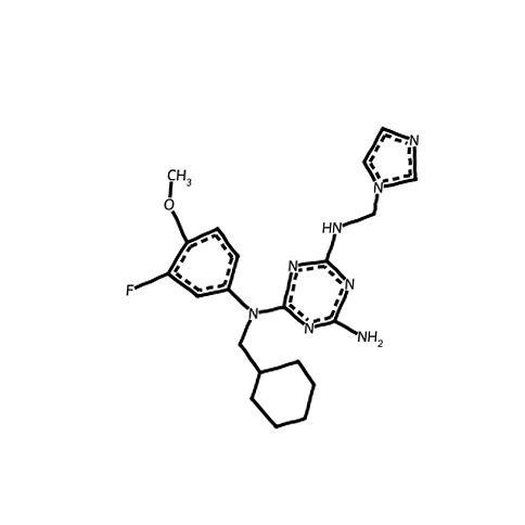 COc1ccc(N(CC2CCCCC2)c2nc(N)nc(NCn3ccnc3)n2)cc1F